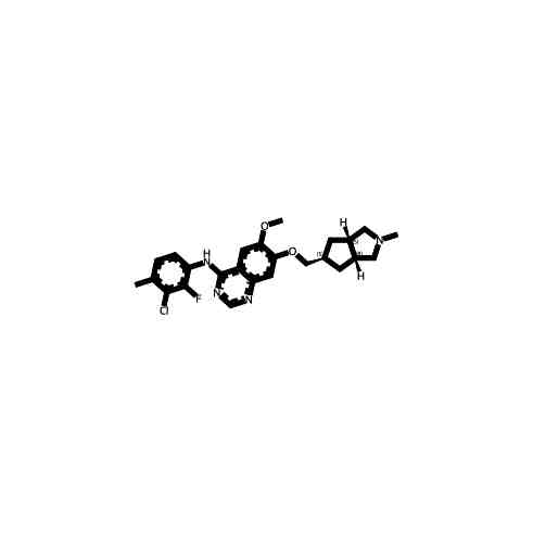 COc1cc2c(Nc3ccc(C)c(Cl)c3F)ncnc2cc1OC[C@H]1C[C@@H]2CN(C)C[C@@H]2C1